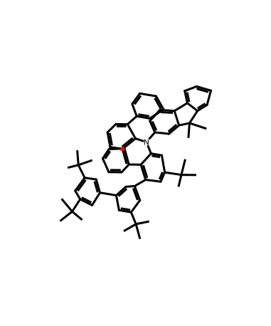 CC(C)(C)c1cc(-c2cc(C(C)(C)C)cc(C(C)(C)C)c2)cc(-c2cc(C(C)(C)C)cc(N(c3ccc4c(c3)C(C)(C)c3ccccc3-4)c3ccccc3-c3ccccc3)c2-c2ccccc2)c1